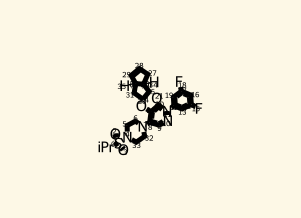 CC(C)S(=O)(=O)N1CCN(c2cnn(-c3cc(F)cc(F)c3)c(=O)c2OC2C[C@@H]3CC=C[C@@H]3C2)CC1